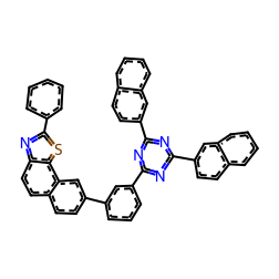 c1ccc(-c2nc3ccc4ccc(-c5cccc(-c6nc(-c7ccc8ccccc8c7)nc(-c7ccc8ccccc8c7)n6)c5)cc4c3s2)cc1